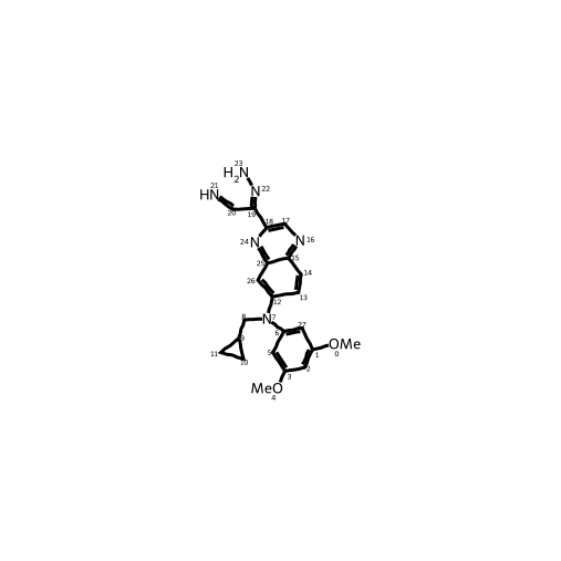 COc1cc(OC)cc(N(CC2CC2)c2ccc3ncc(/C(C=N)=N/N)nc3c2)c1